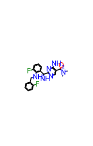 CN(C)C(=O)c1cnc(C(=N)c2cccc(F)c2NCc2ccccc2F)nc1N